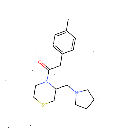 Cc1ccc(CC(=O)N2CCSCC2CN2CCCC2)cc1